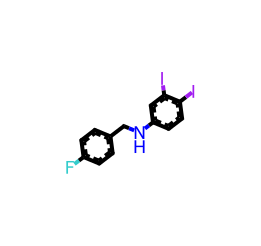 Fc1ccc(CNc2ccc(I)c(I)c2)cc1